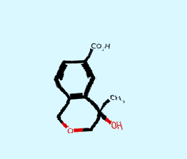 C[C@@]1(O)COCc2ccc(C(=O)O)cc21